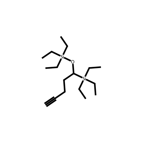 C#CCCC(O[Si](CC)(CC)CC)[Si](CC)(CC)CC